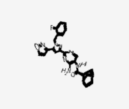 Nc1nc(-c2cc(-c3ccon3)n(Cc3ccccc3F)n2)ncc1NC(=O)C1CC2C=CC1C2